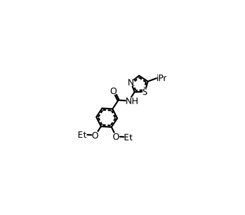 CCOc1ccc(C(=O)Nc2ncc(C(C)C)s2)cc1OCC